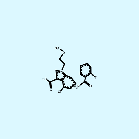 COCCn1cc(C(=O)O)c2c(Cl)cccc21.NC(=O)c1ccccc1F